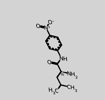 CC(C)C[C@H](N)C(=O)Nc1ccc([N+](=O)[O-])cc1